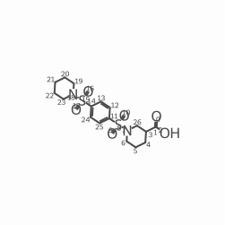 O=C(O)C1CCCN(S(=O)(=O)c2ccc(S(=O)(=O)N3CCCCC3)cc2)C1